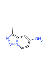 Cc1nnn2ccc(N)cc12